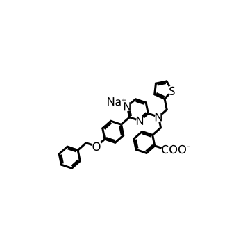 O=C([O-])c1ccccc1CN(Cc1cccs1)c1ccnc(-c2ccc(OCc3ccccc3)cc2)n1.[Na+]